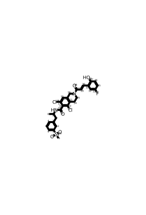 CC(Cc1cccc(S(C)(=O)=O)c1)NC(=O)c1c(Cl)cc2c(c1Cl)CCN(C(=O)/C=C/c1cc(F)ccc1O)C2